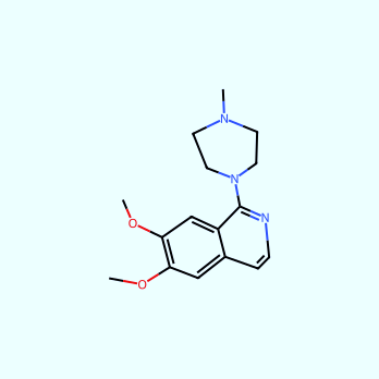 COc1cc2ccnc(N3CCN(C)CC3)c2cc1OC